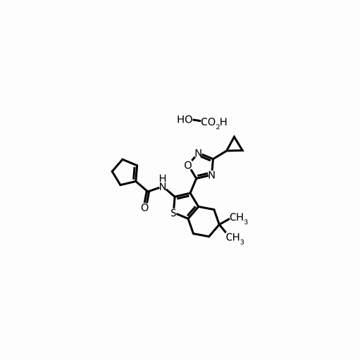 CC1(C)CCc2sc(NC(=O)C3=CCCC3)c(-c3nc(C4CC4)no3)c2C1.O=C(O)O